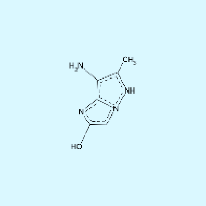 Cc1[nH]n2cc(O)nc2c1N